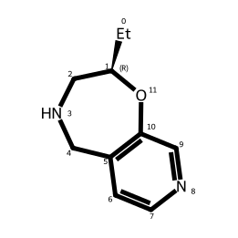 CC[C@@H]1CNCc2ccncc2O1